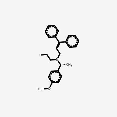 COc1ccc([C@@H](C)N(CC=C(c2ccccc2)c2ccccc2)CCF)cc1